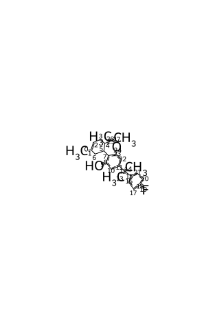 CC1=CCC2C(C1)c1c(O)cc(C(C)(C)c3ccc(F)cc3)cc1OC2(C)C